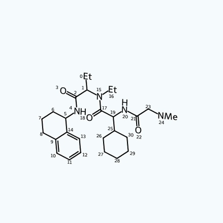 CCC(C(=O)NC1CCCc2ccccc21)N(CC)C(=O)C(NC(=O)CNC)C1CCCCC1